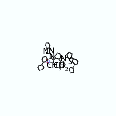 C=Cc1c(/C=C\C)n(-c2nc3ccccc3nc2-c2ccc(-c3ccccc3)cc2)c2ccc3c(c4ccccc4n3-c3cccc4c3sc3c(-c5ccccc5)cccc34)c12